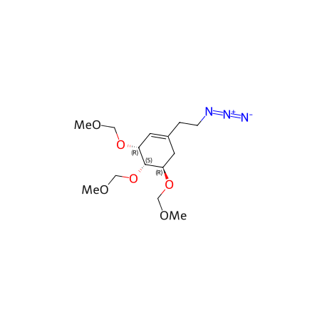 COCO[C@@H]1[C@H](OCOC)C=C(CCN=[N+]=[N-])C[C@H]1OCOC